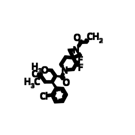 C=CC(=O)N1CC2(CCN(C(=O)[C@@H]3COC(C)(C)C[C@@H]3c3ccccc3Cl)CC2(F)F)C1